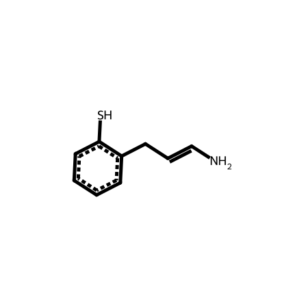 NC=CCc1ccccc1S